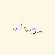 N#Cc1ccc(OC/C(=C\F)CN)cn1